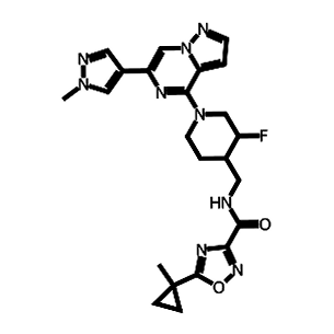 Cn1cc(-c2cn3nccc3c(N3CCC(CNC(=O)c4noc(C5(C)CC5)n4)C(F)C3)n2)cn1